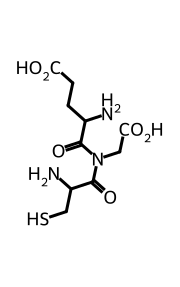 NC(CS)C(=O)N(CC(=O)O)C(=O)C(N)CCC(=O)O